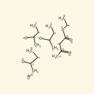 CCC(C)[O-].CCC(C)[O-].CCC(C)[O-].CCOC(=O)CC(C)=O.[Al+3]